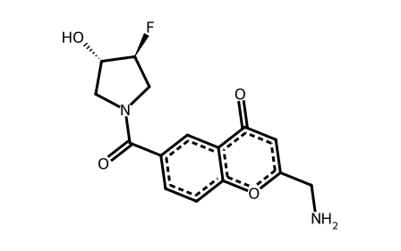 NCc1cc(=O)c2cc(C(=O)N3C[C@H](O)[C@@H](F)C3)ccc2o1